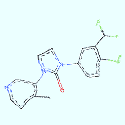 Cc1ccncc1-n1ccn(-c2ccc(F)c(C(F)F)c2)c1=O